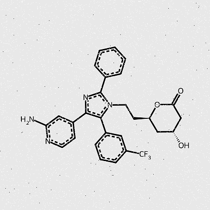 Nc1cc(-c2nc(-c3ccccc3)n(CC[C@@H]3C[C@@H](O)CC(=O)O3)c2-c2cccc(C(F)(F)F)c2)ccn1